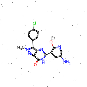 CCOc1ncc(N)cc1-c1nc2c(-c3ccc(Cl)cc3)n(C)nc2c(=O)[nH]1